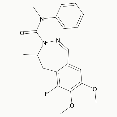 COc1cc2c(c(F)c1OC)CC(C)N(C(=O)N(C)c1ccccc1)N=C2